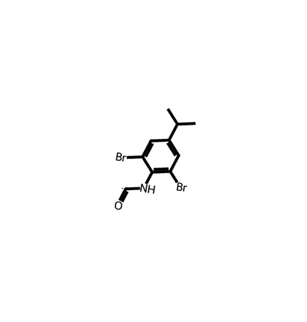 CC(C)c1cc(Br)c(N[C]=O)c(Br)c1